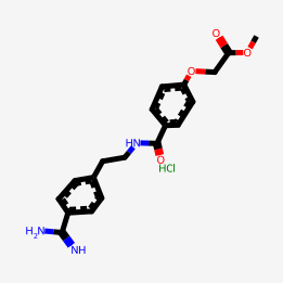 COC(=O)COc1ccc(C(=O)NCCc2ccc(C(=N)N)cc2)cc1.Cl